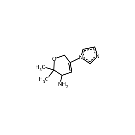 CC1(C)OCC(n2ccnc2)=CC1N